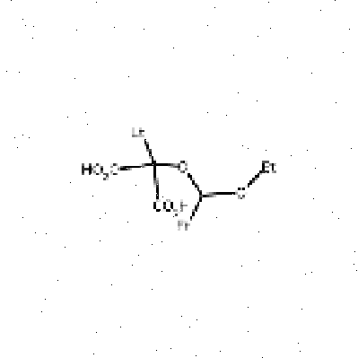 CCOC(CC)OC(CC)(C(=O)O)C(=O)O